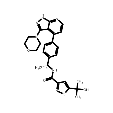 C[C@@H](NC(=O)c1cc(C(C)(C)O)on1)c1ccc(-c2ccnc3[nH]nc(N4CCOCC4)c23)cc1